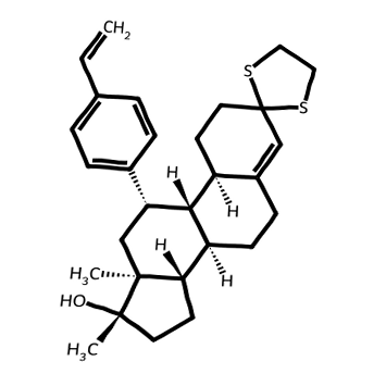 C=Cc1ccc([C@H]2C[C@@]3(C)[C@@H](CC[C@]3(C)O)[C@@H]3CCC4=CC5(CC[C@@H]4[C@H]32)SCCS5)cc1